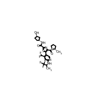 CC(Nc1cc(C(F)F)c(-c2sc(C(=O)N[C@@H]3CC[C@@H](O)C3)nc2C(=O)N2CCC[C@@H]2C)cn1)C(F)(F)F